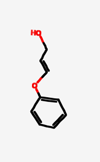 OCC=COc1ccccc1